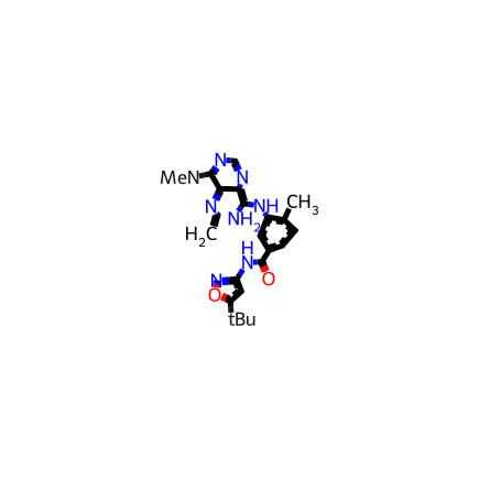 C=C/N=C1/C(NC)=NC=N/C1=C(/N)Nc1cc(C(=O)Nc2cc(C(C)(C)C)on2)ccc1C